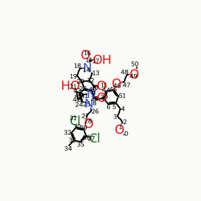 COCCCc1cc(CN(C(=O)C2CN(C(=O)O)CCC2(O)c2ccn(CCOc3c(Cl)cc(C)cc3Cl)c(=O)c2)C2CC2)cc(OCCOC)c1